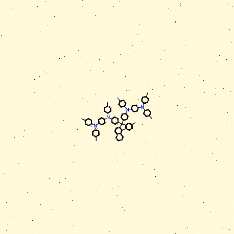 Cc1ccc(N(c2ccc(C)cc2)c2ccc(N(c3ccc(C)cc3)c3ccc(C4(c5ccc(N(c6ccc(C)cc6)c6ccc(N(c7ccc(C)cc7)c7ccc(C)cc7)cc6)cc5)c5cc(C)ccc5-c5c4ccc4ccccc54)cc3)cc2)cc1